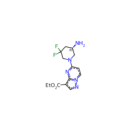 CCOC(=O)c1cnn2ccc(N3C[C@H](N)CC(F)(F)C3)nc12